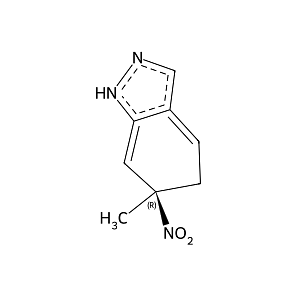 C[C@]1([N+](=O)[O-])C=c2[nH]ncc2=CC1